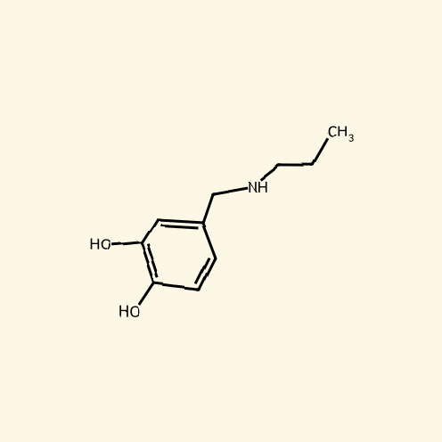 CCCNCc1ccc(O)c(O)c1